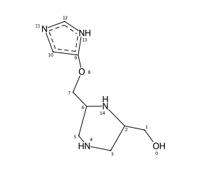 OCC1CNCC(COc2cnc[nH]2)N1